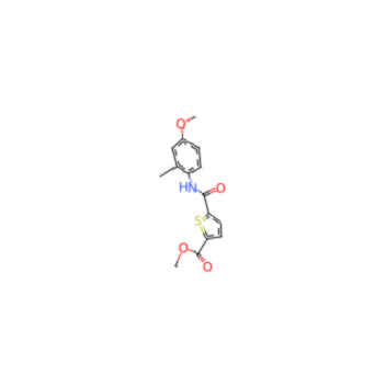 COC(=O)c1ccc(C(=O)Nc2ccc(OC)cc2C)s1